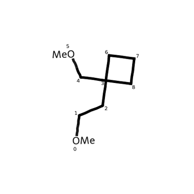 COCCC1(COC)CCC1